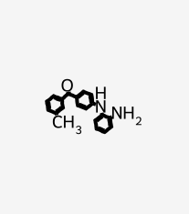 Cc1cccc(C(=O)c2ccc(Nc3ccccc3N)cc2)c1